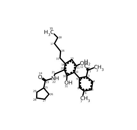 C=C(C)c1ccc(C)cc1-c1c(O)cc(CCCCC)c(CNC(=O)C2CCCC2)c1O